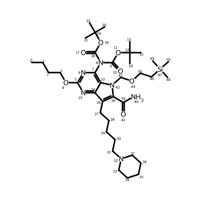 CCCCOc1nc(N(C(=O)OC(C)(C)C)C(=O)OC(C)(C)C)c2c(n1)c(CCCCCN1CCCCC1)c(C(N)=O)n2COCC[Si](C)(C)C